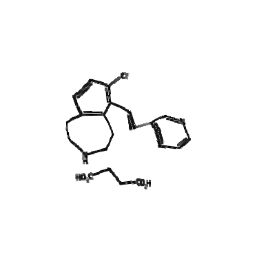 Clc1ccc2c(c1C=Cc1cccnc1)CCNCC2.O=C(O)CCC(=O)O